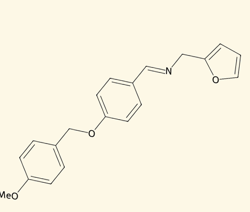 COc1ccc(COc2ccc(C=NCc3ccco3)cc2)cc1